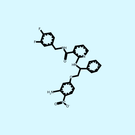 Nc1cc(OCC(Nc2ncccc2C(=O)NCc2ccc(F)c(F)c2)c2ccccc2)ccc1[N+](=O)[O-]